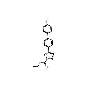 CCOC(=O)c1nnc(-c2ccc(-c3ccc(Cl)cc3)cc2)o1